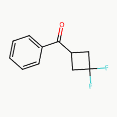 O=C(c1ccccc1)C1CC(F)(F)C1